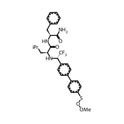 COOSc1ccc(-c2ccc([C@H](N[C@@H](CC(C)C)C(=O)N[C@@H](Cc3ccccc3)C(N)=O)C(F)(F)F)cc2)cc1